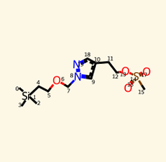 C[Si](C)(C)CCOCn1cc(CCOS(C)(=O)=O)cn1